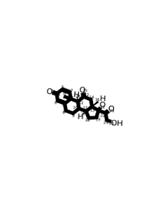 CC12C=CC(=O)C=C1CCC1[C@@H]2C(=O)C[C@@]2(C)[C@H]1CCC2(O)C(=O)CO